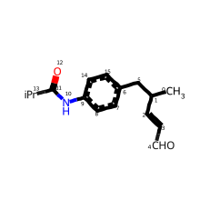 CC(/C=C/C=O)Cc1ccc(NC(=O)C(C)C)cc1